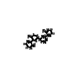 Fc1ccc(-c2cnnc(-c3ncccc3F)n2)cc1-c1ncccc1F